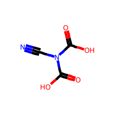 N#CN(C(=O)O)C(=O)O